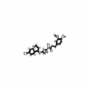 COc1ccc(CCC(=O)Nc2nnc(Sc3ccnc4cc(Cl)ccc34)s2)cc1OC